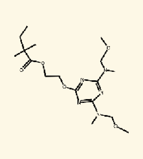 CCC(C)(C)C(=O)OCCOc1nc(N(C)COC)nc(N(C)COC)n1